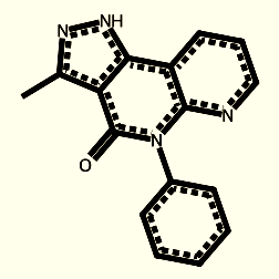 Cc1n[nH]c2c1c(=O)n(-c1ccccc1)c1ncccc21